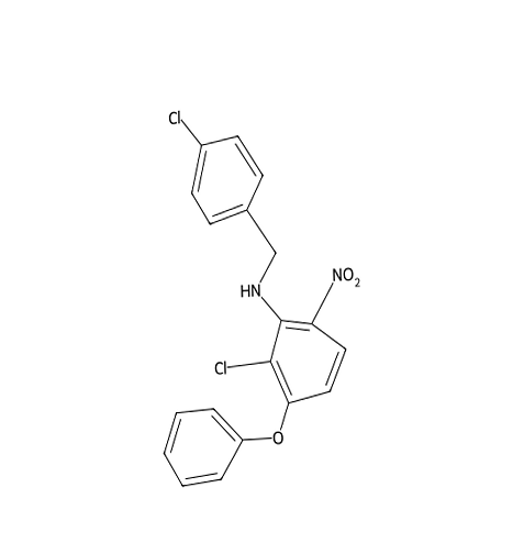 O=[N+]([O-])c1ccc(Oc2ccccc2)c(Cl)c1NCc1ccc(Cl)cc1